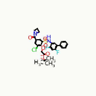 CC(C)(C)OC(=O)COc1c(Cl)cc(C(=O)N2CCC2)cc1S(=O)(=O)Nc1cc(-c2ccccc2)c(F)cc1F